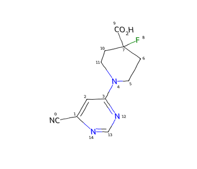 N#Cc1cc(N2CCC(F)(C(=O)O)CC2)ncn1